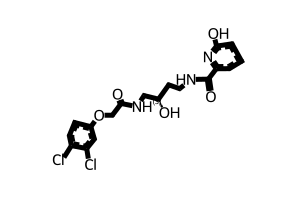 O=C(COc1ccc(Cl)c(Cl)c1)NC[C@@H](O)CCNC(=O)c1cccc(O)n1